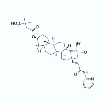 CC(C)C1=C2[C@H]3CC[C@@H]4[C@@]5(C)CC[C@H](OC(=O)CC(C)(C)C(=O)O)C(C)(C)[C@@H]5CC[C@@]4(C)[C@]3(C)CC[C@@]2(/C=C/C(=O)Nc2ccccn2)CC1=O